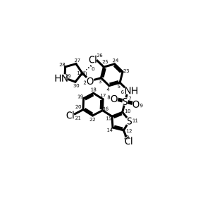 C[C@@]1(Oc2cc(NS(=O)(=O)c3sc(Cl)cc3-c3cccc(Cl)c3)ccc2Cl)CCNC1